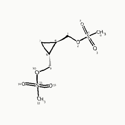 CS(=O)(=O)OC[C@@H]1C[C@H]1COS(C)(=O)=O